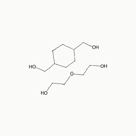 OCC1CCC(CO)CC1.OCCOCCO